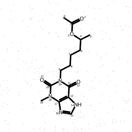 CC(=O)OC(C)CCCCn1c(=O)c2[nH]cnc2n(C)c1=O